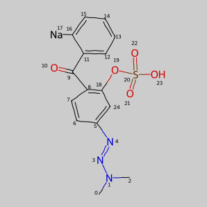 CN(C)N=Nc1ccc(C(=O)c2cccc[c]2[Na])c(OS(=O)(=O)O)c1